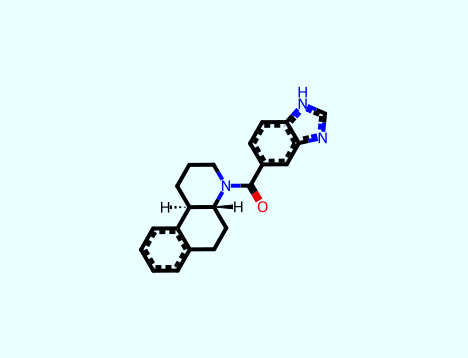 O=C(c1ccc2[nH]cnc2c1)N1CCC[C@@H]2c3ccccc3CC[C@H]21